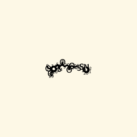 COc1cc2cc(C(=O)CCC(=O)OCCSSc3ccccn3)sc2cc1OC